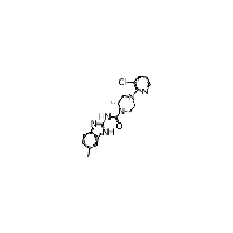 Cc1ccc2nc(NC(=O)N3CCN(c4ncccc4Cl)C[C@H]3C)[nH]c2c1